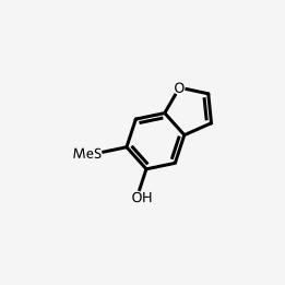 CSc1cc2occc2cc1O